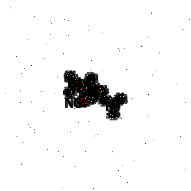 N#Cc1ccc(-c2ccc(-n3c4ccccc4c4cc(-c5nc(-c6ccccc6)nc(-c6ccccc6)n5)ccc43)c(-c3cccc(-n4c5ccccc5c5cc(-c6nc(-c7ccccc7)nc(-c7ccccc7)n6)ccc54)c3-c3nc(-c4ccccc4)nc(-c4ccccc4)n3)c2)cc1